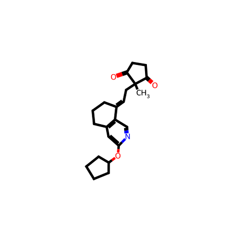 CC1(CC=C2CCCc3cc(OC4CCCC4)ncc32)C(=O)CCC1=O